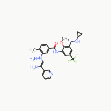 COc1c(CNC2CC2)cc(C(F)(F)F)cc1NC(=O)c1ccc(C)c(N(N)/C=C(\N)c2cccnc2)c1